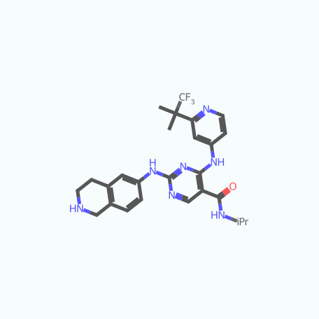 CC(C)NC(=O)c1cnc(Nc2ccc3c(c2)CCNC3)nc1Nc1ccnc(C(C)(C)C(F)(F)F)c1